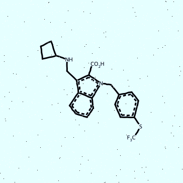 O=C(O)c1c(CNC2CCC2)c2ccccc2n1Cc1ccc(SC(F)(F)F)cc1